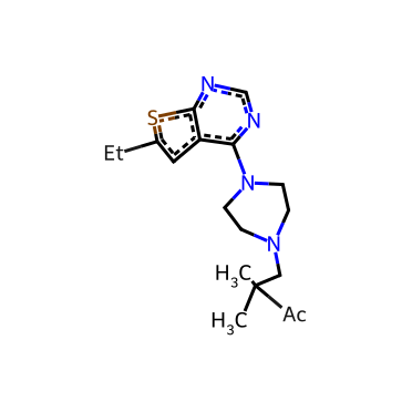 CCc1cc2c(N3CCN(CC(C)(C)C(C)=O)CC3)ncnc2s1